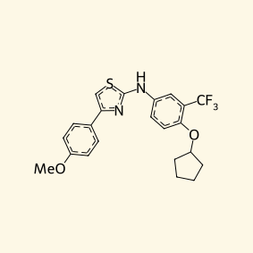 COc1ccc(-c2csc(Nc3ccc(OC4CCCC4)c(C(F)(F)F)c3)n2)cc1